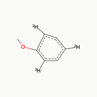 [2H]c1cc([2H])c(OC)c([2H])c1